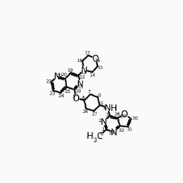 Cc1nc(NC2CCC(Oc3nc(N4CCOCC4)cc4ncccc34)CC2)c2occc2n1